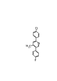 Cc1cc(-c2ccc(Cl)cc2)ncc1-c1ccc(F)cc1